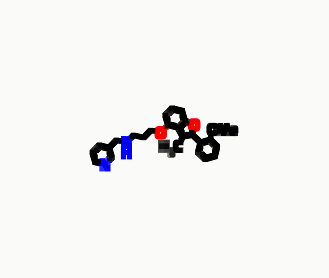 COc1ccccc1-c1oc2cccc(OCCCNCc3cccnc3)c2c1C